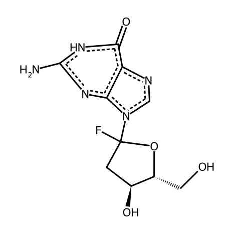 Nc1nc2c(ncn2C2(F)C[C@H](O)[C@@H](CO)O2)c(=O)[nH]1